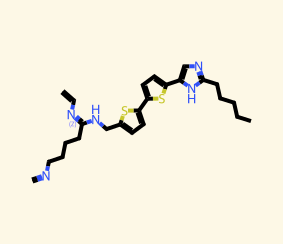 C=C/N=C(/CCCCN=C)NCc1ccc(-c2ccc(-c3cnc(CCCCC)[nH]3)s2)s1